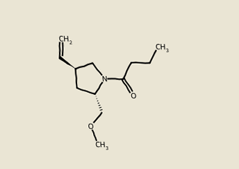 C=C[C@@H]1C[C@@H](COC)N(C(=O)CCC)C1